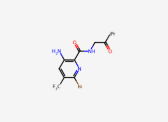 CC(C)C(=O)CNC(=O)c1nc(Br)c(C(F)(F)F)cc1N